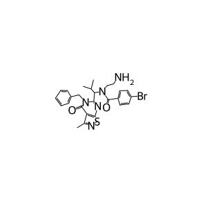 Cc1nsc2nc(C(C(C)C)N(CCN)C(=O)c3ccc(Br)cc3)n(Cc3ccccc3)c(=O)c12